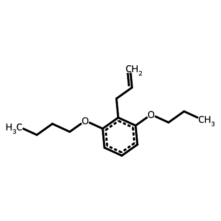 C=CCc1c(OCCC)cccc1OCCCC